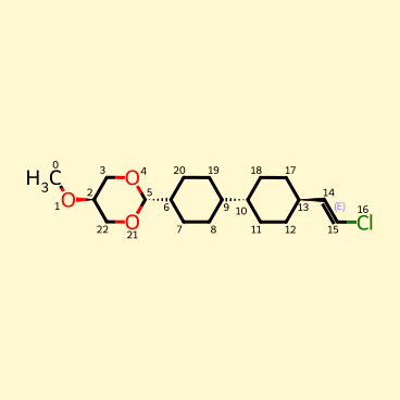 CO[C@H]1CO[C@H](C2CCC([C@H]3CC[C@H](/C=C/Cl)CC3)CC2)OC1